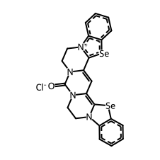 O=C1N2CC[n+]3c([se]c4ccccc43)C2=CC2=C3[Se]c4ccccc4N3CCN12.[Cl-]